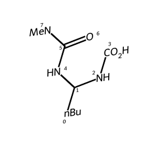 CCCCC(NC(=O)O)NC(=O)NC